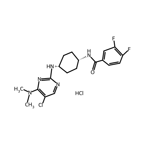 CN(C)c1nc(N[C@H]2CC[C@@H](NC(=O)c3ccc(F)c(F)c3)CC2)ncc1Cl.Cl